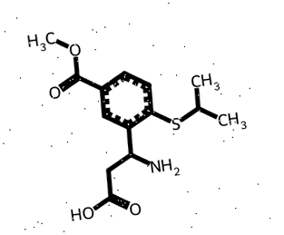 COC(=O)c1ccc(SC(C)C)c(C(N)CC(=O)O)c1